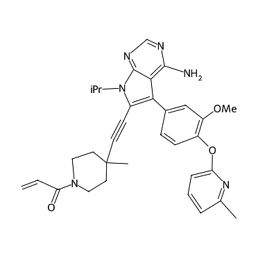 C=CC(=O)N1CCC(C)(C#Cc2c(-c3ccc(Oc4cccc(C)n4)c(OC)c3)c3c(N)ncnc3n2C(C)C)CC1